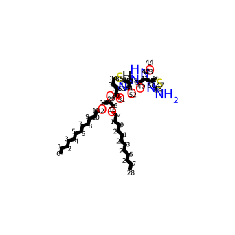 CCCCCCCCCCCCOCC(COCCCCCCCCCCCC)OC(=O)C1=CCS[C@H]2C(NC(=O)C(=NOC)c3csc(N)n3)C(=O)N12